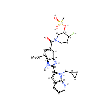 COc1cc(C(=O)N2CCC(F)C(OS(C)(=O)=O)C2)cc2nc(-c3cc4cccnc4n3CC3CC3)n(C)c12